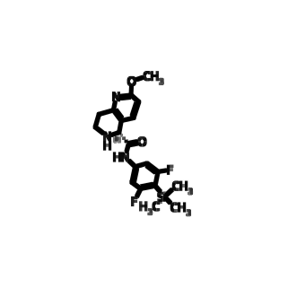 COc1ccc2c(n1)CCN[C@H]2C(=O)Nc1cc(F)c([Si](C)(C)C)c(F)c1